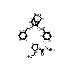 CCCCOC(=O)N1CCC[C@@H]1CO.c1ccc(COc2cc3cc(c2OCc2ccccc2)COC3)cc1